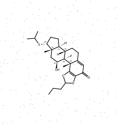 CCCC1OC2=C(O1)[C@@]1(C)C(=CC2=O)CC[C@H]2[C@@H]3CC[C@@H](SC(C)C)[C@@]3(C)C[C@H](O)[C@@]21F